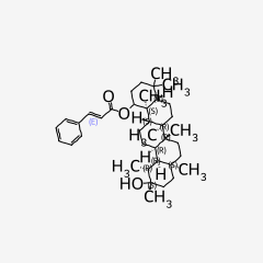 C[C@@H]1[C@H]2[C@H]3CC[C@@H]4[C@@]5(C)C(OC(=O)/C=C/c6ccccc6)CCC(C)(C)[C@@H]5CC[C@@]4(C)[C@]3(C)CC[C@@]2(C)CC[C@]1(C)O